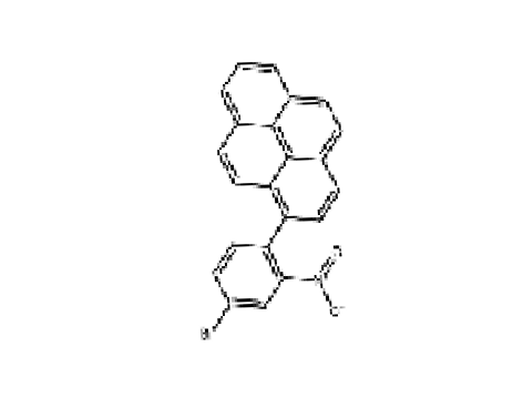 O=[N+]([O-])c1cc(Br)ccc1-c1ccc2ccc3cccc4ccc1c2c34